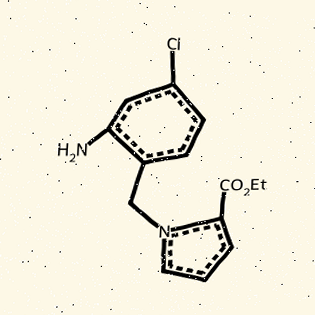 CCOC(=O)c1cccn1Cc1ccc(Cl)cc1N